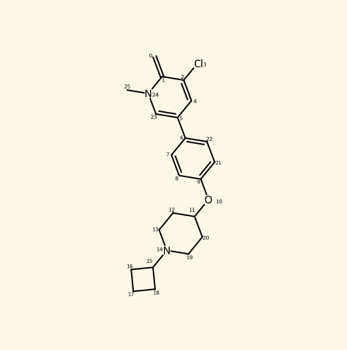 C=C1C(Cl)=CC(c2ccc(OC3CCN(C4CCC4)CC3)cc2)=CN1C